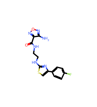 Nc1nonc1C(=O)NCCNc1nc(-c2ccc(F)cc2)cs1